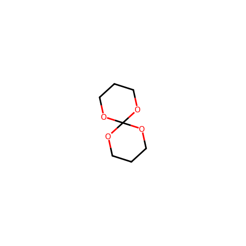 C1COC2(OC1)OCCCO2